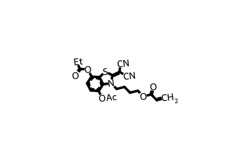 C=CC(=O)OCCCCN1C(=C(C#N)C#N)Sc2c(OC(=O)CC)ccc(OC(C)=O)c21